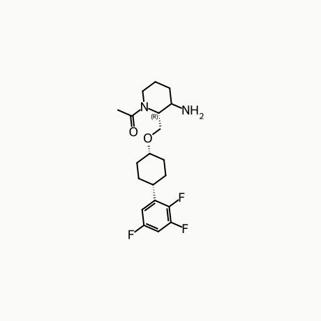 CC(=O)N1CCCC(N)[C@@H]1CO[C@H]1CC[C@@H](c2cc(F)cc(F)c2F)CC1